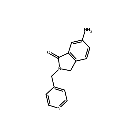 Nc1ccc2c(c1)C(=O)N(Cc1ccncc1)C2